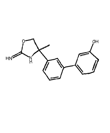 CC1(c2cccc(-c3cccc(O)c3)c2)COC(=N)N1